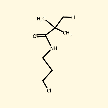 CC(C)(CCl)C(=O)NCCCCl